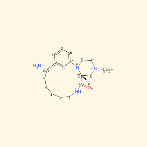 N[C@H]1CCCCCNC(=O)[C@H]2CN(C(=O)O)CCN2c2cccc1c2